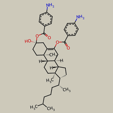 CC(C)CCC[C@@H](C)[C@H]1CC[C@H]2[C@@H]3CC(OC(=O)c4ccc(N)cc4)=C4C[C@](O)(OC(=O)c5ccc(N)cc5)CC[C@]4(C)[C@H]3CC[C@]12C